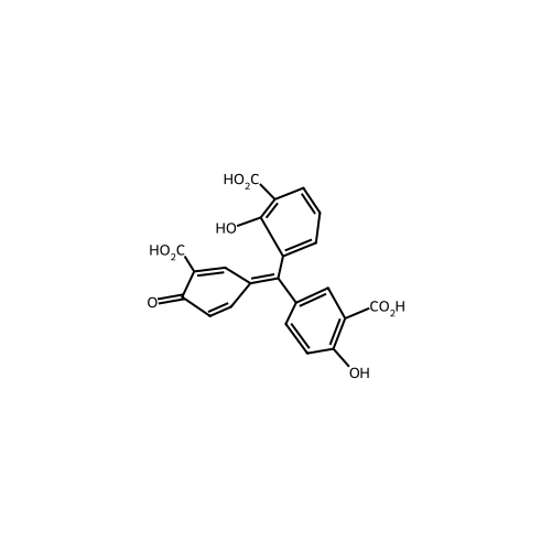 O=C(O)C1=CC(=C(c2ccc(O)c(C(=O)O)c2)c2cccc(C(=O)O)c2O)C=CC1=O